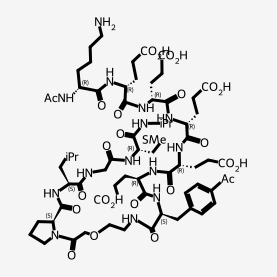 CSC[C@H](NC(=O)CNC(=O)[C@H](CC(C)C)NC(=O)[C@@H]1CCCN1C(=O)COCCNC(=O)[C@H](Cc1ccc(C(C)=O)cc1)NC(=O)[C@@H](CCC(=O)O)NC(=O)[C@@H](CCC(=O)O)NC(=O)[C@@H](CCC(=O)O)NC(=O)[C@@H](CCC(=O)O)NC(=O)[C@@H](CCC(=O)O)NC(=O)[C@@H](CCCCN)NC(C)=O)C(=O)NC(C)C